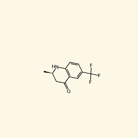 C[C@@H]1CC(=O)c2cc(C(F)(F)F)ccc2N1